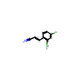 N#C/C=C/c1ccc(F)cc1Br